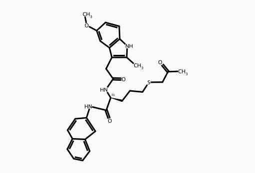 COc1ccc2[nH]c(C)c(CC(=O)N[C@@H](CCCSCC(C)=O)C(=O)Nc3ccc4ccccc4c3)c2c1